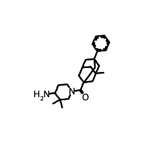 CC12CC3CC(C(=O)N4CCC(N)C(C)(C)C4)(C1)CC(c1ccccc1)(C3)C2